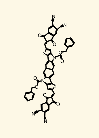 N#Cc1cc2c(cc1C#N)C(=O)C(=Cc1cc3c(s1)c1c(n3C(=O)OCc3ccccc3)=CC3C=c4c(n(C(=O)OCc5ccccc5)c5cc(C=C6C(=O)c7cc(C#N)c(C#N)cc7C6=O)sc45)=CC3C=1)C2=O